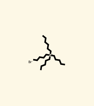 CCCCCC[N+](CCCCC)(CCCCC)CCCCC.[Br-]